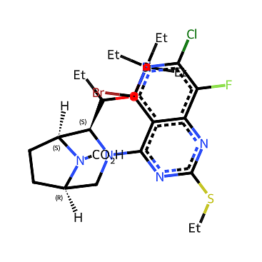 CCSc1nc(N2C[C@H]3CC[C@@H]([C@H]2C(CC)O[Si](CC)(CC)CC)N3C(=O)O)c2c(Br)nc(Cl)c(F)c2n1